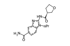 CCCn1c(NC(=O)[C@H]2CCOC2)nc2cc(C(N)=O)ccc21